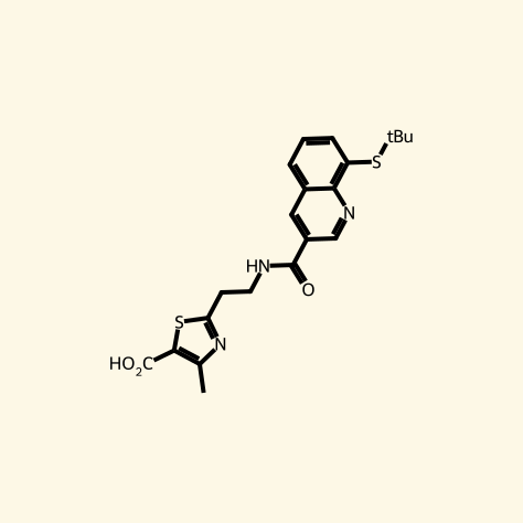 Cc1nc(CCNC(=O)c2cnc3c(SC(C)(C)C)cccc3c2)sc1C(=O)O